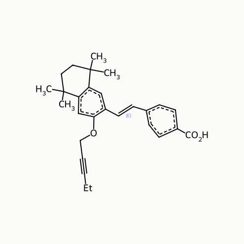 CCC#CCOc1cc2c(cc1/C=C/c1ccc(C(=O)O)cc1)C(C)(C)CCC2(C)C